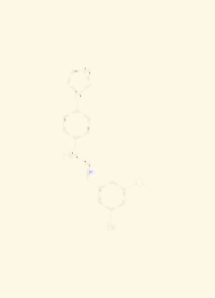 COc1cc(Br)cc(/C=N/Nc2ccc(-n3ccnc3)cc2)c1